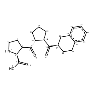 O=C(C1CCN[C@@H]1C(O)=S)[C@@H]1CCCN1C(=O)[C@@H]1CCc2ccccc2C1